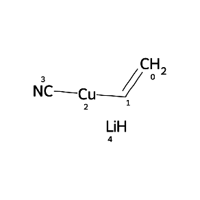 C=[CH][Cu][C]#N.[LiH]